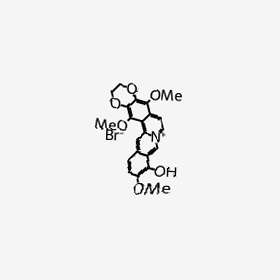 COc1ccc2cc3c4c(OC)c5c(c(OC)c4cc[n+]3cc2c1O)OCCO5.[Br-]